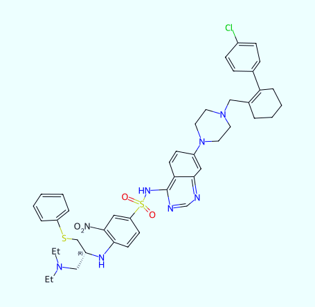 CCN(CC)C[C@H](CSc1ccccc1)Nc1ccc(S(=O)(=O)Nc2ncnc3cc(N4CCN(CC5=C(c6ccc(Cl)cc6)CCCC5)CC4)ccc23)cc1[N+](=O)[O-]